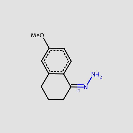 COc1ccc2c(c1)CCC/C2=N/N